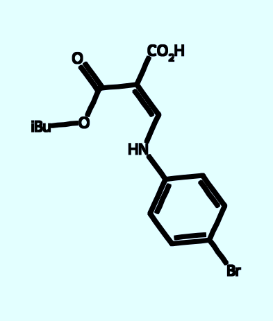 CCC(C)OC(=O)C(=CNc1ccc(Br)cc1)C(=O)O